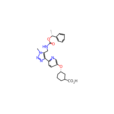 C[C@@H](OC(=O)NCc1c(-c2ccc(O[C@H]3CCCC(C(=O)O)C3)cn2)nnn1C)c1ccccc1